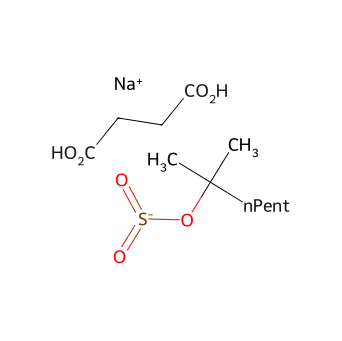 CCCCCC(C)(C)O[S-](=O)=O.O=C(O)CCC(=O)O.[Na+]